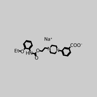 CCOc1ccccc1NC(=O)OCCN1CCN(c2cccc(C(=O)[O-])c2)CC1.[Na+]